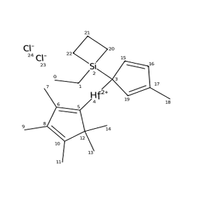 CC[Si]1([C]2([Hf+2][C]3=C(C)C(C)=C(C)C3(C)C)C=CC(C)=C2)CCC1.[Cl-].[Cl-]